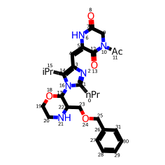 CCCc1nc(C=C2NC(=O)CN(C(C)=O)C2=O)c(C(C)C)n1C1OCCNC1COCc1ccccc1